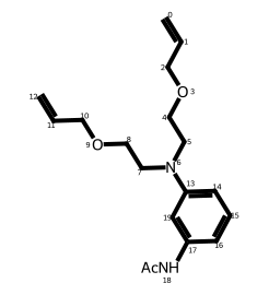 C=CCOCCN(CCOCC=C)c1cccc(NC(C)=O)c1